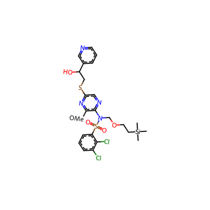 COc1nc(SCC(O)c2cccnc2)cnc1N(COCC[Si](C)(C)C)S(=O)(=O)c1cccc(Cl)c1Cl